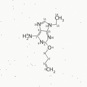 C=CCCOc1nc(N)c2ncn(CC)c2n1